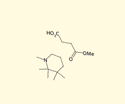 CN1CCCC(C)(C)C1(C)C.COC(=O)CCC(=O)O